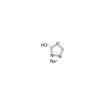 [Na+].[OH-].c1nnco1